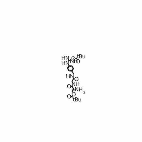 CC(C)(C)C(=O)OC[C@@H](N)C(=O)NCC(=O)NCc1ccc(NC(=N)NOC(=O)C(C)(C)C)cc1